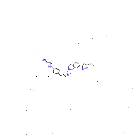 Cc1nc(-c2ccc3c(c2)CN(c2ncc(Cc4ccc(N/C=C\C=N)cc4)s2)CC3)no1